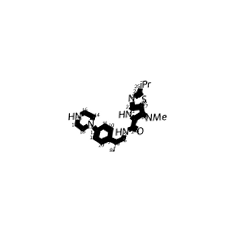 CNc1c(C(=O)NC[C@H](C)c2ccc(N3CCNCC3)cc2)[nH]c2nc(C(C)C)sc12